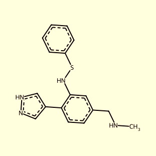 CNCc1ccc(-c2cn[nH]c2)c(NSc2ccccc2)c1